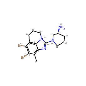 Cc1c(Br)c(Br)c2c3c1nc(N1CCC[C@H](N)C1)n3CCC2